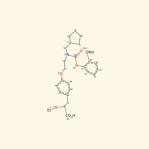 CCOC(Cc1ccc(OCCN(CC2CCCC2)C(=O)Oc2ccccc2OC)cc1)C(=O)O